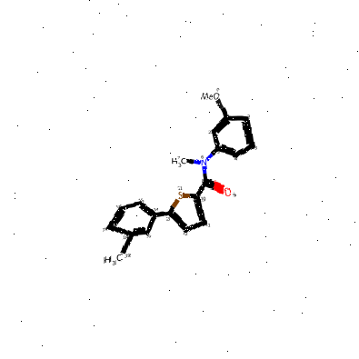 COc1cccc(N(C)C(=O)c2ccc(-c3cccc(C)c3)s2)c1